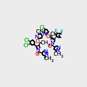 Cc1cc(C(=O)N2CC(c3ccc(Cl)c(Cl)c3)C(C(C)Oc3ccc(C#N)cn3)C2)cnn1.Cc1cc(C(=O)N2C[C@H]([C@H](C)Oc3ccc(Cl)cn3)[C@@H](c3ccc(F)c(F)c3)C2)cnn1